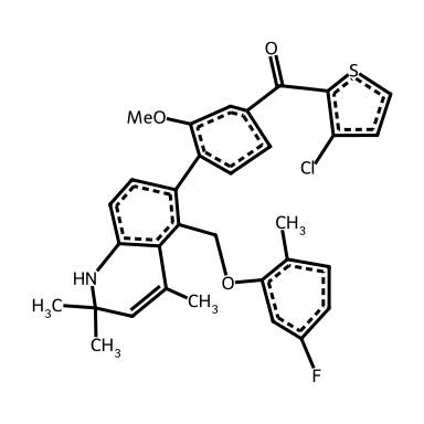 COc1cc(C(=O)c2sccc2Cl)ccc1-c1ccc2c(c1COc1cc(F)ccc1C)C(C)=CC(C)(C)N2